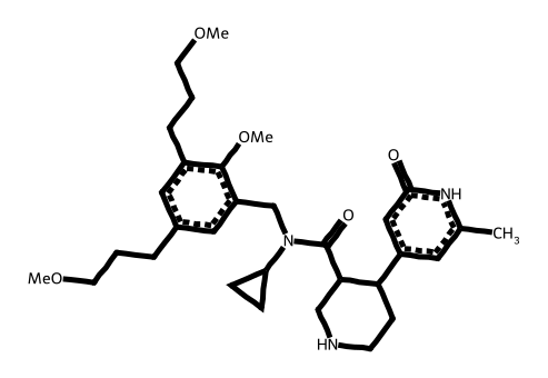 COCCCc1cc(CCCOC)c(OC)c(CN(C(=O)C2CNCCC2c2cc(C)[nH]c(=O)c2)C2CC2)c1